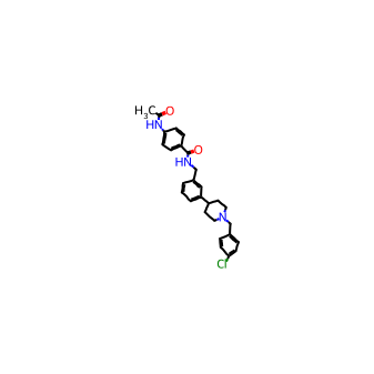 CC(=O)Nc1ccc(C(=O)NCc2cccc(C3CCN(Cc4ccc(Cl)cc4)CC3)c2)cc1